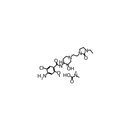 CCN1CCN(CCN2CC[C@H](NC(=O)c3cc(Cl)c(N)cc3OC)[C@H](O)C2)C1=O.CN(C)C(=O)O